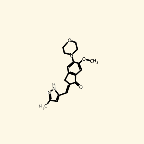 COc1cc2c(cc1N1CCOCC1)CC(=Cc1cc(C)n[nH]1)C2=O